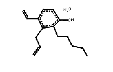 C=CCc1c(C=C)ccc(O)c1CCCCC.O